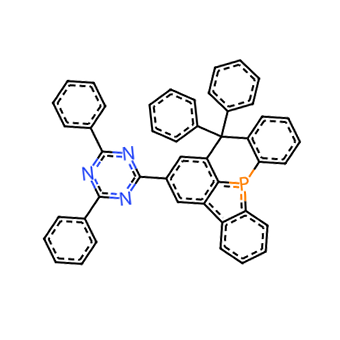 c1ccc(-c2nc(-c3ccccc3)nc(-c3cc4c5c(c3)c3ccccc3p5-c3ccccc3C4(c3ccccc3)c3ccccc3)n2)cc1